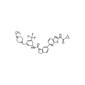 CCN1CCN(CC2=CC(NC(=O)N3CCc4ccc(-c5ccc6nc(NC(=O)C7CC7)sc6n5)cc43)CC(C(F)(F)F)=C2)CC1